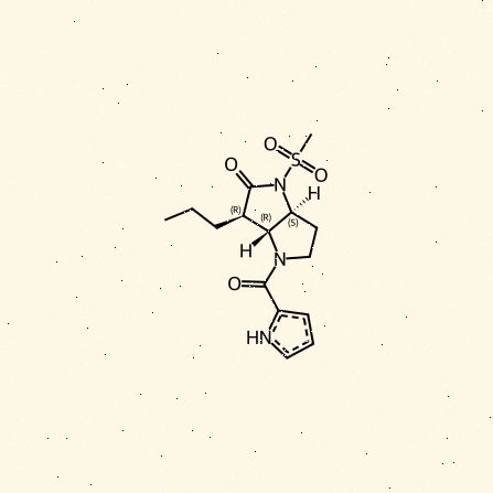 CCC[C@H]1C(=O)N(S(C)(=O)=O)[C@H]2CCN(C(=O)c3ccc[nH]3)[C@H]12